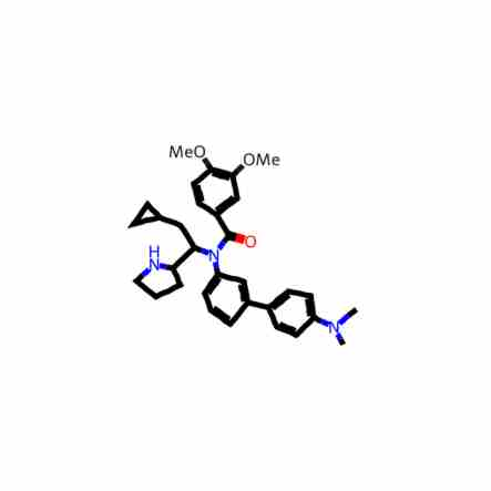 COc1ccc(C(=O)N(c2cccc(-c3ccc(N(C)C)cc3)c2)C(CC2CC2)C2CCCN2)cc1OC